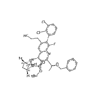 CC(OCc1ccccc1)c1nc2c(F)c(-c3cccc(Cl)c3Cl)c(CCC#N)cc2c(N[C@H]2[C@@H]3C[C@H]2N(C(=O)OC(C)(C)C)C3)c1I